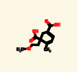 COCCC1(C(=O)O)CC(C(=O)O)=CC=C1C